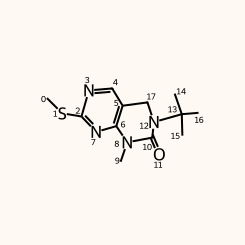 CSc1ncc2c(n1)N(C)C(=O)N(C(C)(C)C)C2